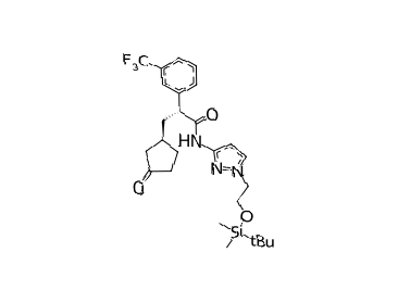 CC(C)(C)[Si](C)(C)OCCn1ccc(NC(=O)[C@H](C[C@H]2CCC(=O)C2)c2cccc(C(F)(F)F)c2)n1